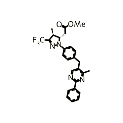 COC(=O)C[C@H]1[C@H](C)C(C(F)(F)F)=NN1c1ccc(Cc2cnc(-c3ccccc3)nc2C)cc1